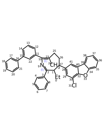 CCC1/C(c2ccccc2)=N\C(c2cccc(-c3ccccc3)c2)=C(/C)CCC1c1cc(Cl)c2oc3ccccc3c2c1